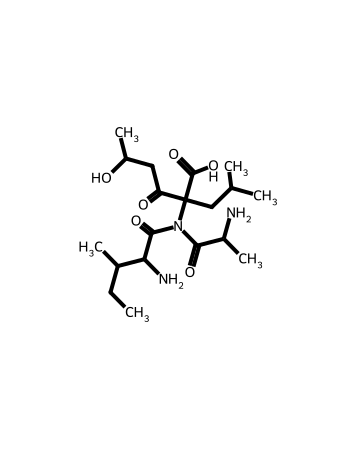 CCC(C)C(N)C(=O)N(C(=O)C(C)N)C(CC(C)C)(C(=O)O)C(=O)CC(C)O